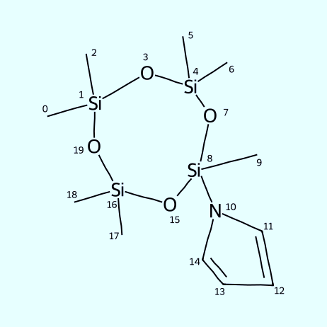 C[Si]1(C)O[Si](C)(C)O[Si](C)(n2cccc2)O[Si](C)(C)O1